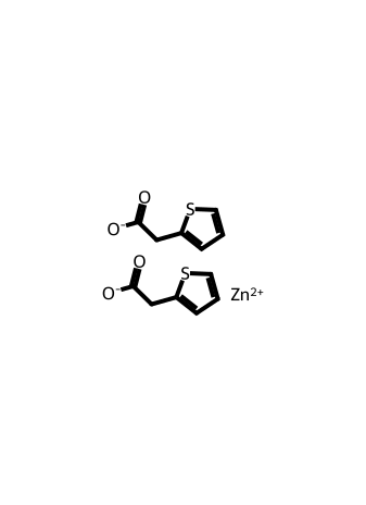 O=C([O-])Cc1cccs1.O=C([O-])Cc1cccs1.[Zn+2]